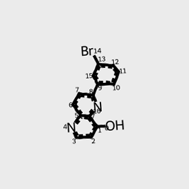 Oc1ccnc2ccc(-c3cccc(Br)c3)nc12